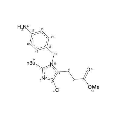 CCCCc1nc(Cl)c(CCC(=O)OC)n1Cc1ccc(N)cc1